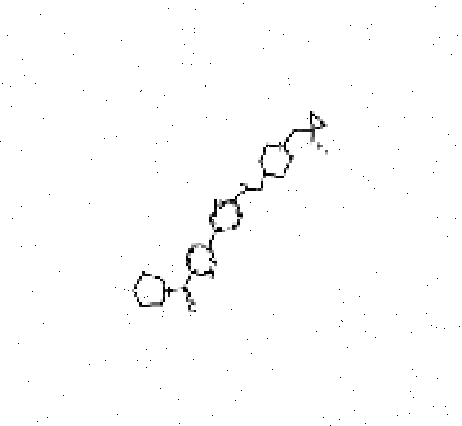 O=C(c1ccc(-c2ccc(OCC3CCN(CC4(C(F)(F)F)CC4)CC3)nc2)cc1)N1CCCCC1